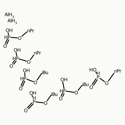 CCC(C)O[PH](=O)O.CCC(C)O[PH](=O)O.CCC(C)O[PH](=O)O.CCCO[PH](=O)O.CCCO[PH](=O)O.CCCO[PH](=O)O.[AlH3].[AlH3]